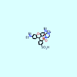 CCN(CC)c1ccc2c(c1)Oc1cc(N(CC)CC)ccc1C2c1ccc(S(=O)(=O)O)cc1S(=O)(=O)N1CCN(C)CC1